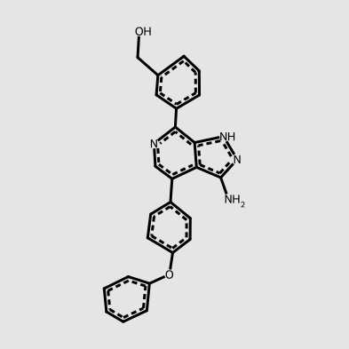 Nc1n[nH]c2c(-c3cccc(CO)c3)ncc(-c3ccc(Oc4ccccc4)cc3)c12